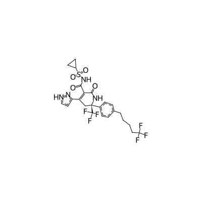 O=C1N[C@@](c2ccc(CCCCC(F)(F)F)cc2)(C(F)(F)F)CC(c2cc[nH]n2)=C1C(=O)NS(=O)(=O)C1CC1